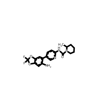 CC1CCCCN1C(=O)Nc1ccc(-c2cc3c(cc2N)OC(F)(F)O3)cn1